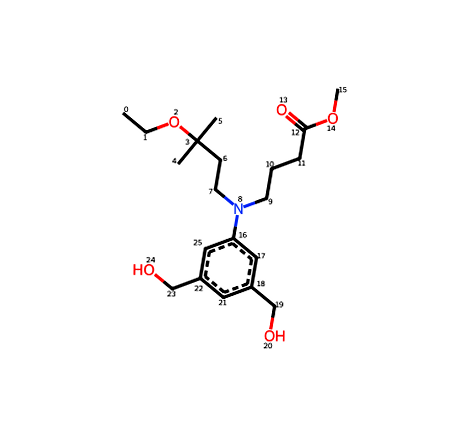 CCOC(C)(C)CCN(CCCC(=O)OC)c1cc(CO)cc(CO)c1